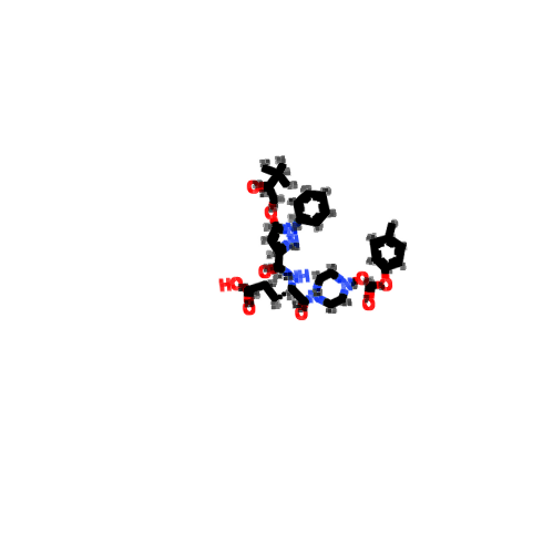 Cc1ccc(OC(=O)ON2CCN(C(=O)[C@H](CCC(=O)O)NC(=O)c3cc(OCC(=O)C(C)(C)C)n(-c4ccccc4)n3)CC2)cc1